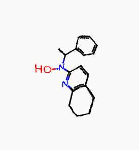 CC(c1ccccc1)N(O)c1ccc2c(n1)CCCC2